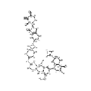 COc1cc(-c2cn(C)c(=O)c3cnc(N4CCC4)cc23)cc(OC)c1CN1CCC(CN2CCC3(CC2)CN(c2ccc4c(c2)C(=O)N([C@@H]2CCC(=O)NC2=O)C4)C3)CC1